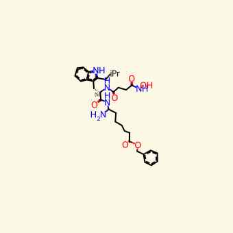 CC(C)Cc1[nH]c2ccccc2c1C[C@H](NC(=O)CCC(=O)NO)C(=O)NC(N)CCCCCC(=O)OCc1ccccc1